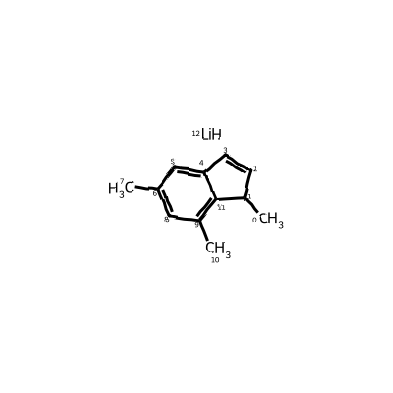 C[C]1C=Cc2cc(C)cc(C)c21.[LiH]